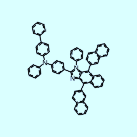 c1ccc(-c2ccc(N(c3ccccc3)c3ccc(-c4nc5c(-c6ccc7ccccc7c6)c6ccccc6c(-c6ccc7ccccc7c6)c5n4-c4ccccc4)cc3)cc2)cc1